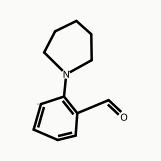 O=Cc1ccc[c]c1N1CCCCC1